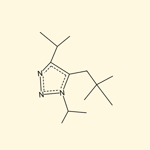 CC(C)c1nnn(C(C)C)c1CC(C)(C)C